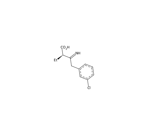 CC[C@H](C(=N)Cc1cccc(Cl)c1)C(=O)O